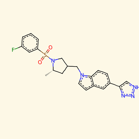 C[C@H]1CC(Cn2ccc3cc(-c4c[nH]nn4)ccc32)CN1S(=O)(=O)c1cccc(F)c1